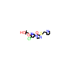 CC(C)(O)COc1ncc(-n2ccnc(SCCc3ccccn3)c2=O)cc1Cl